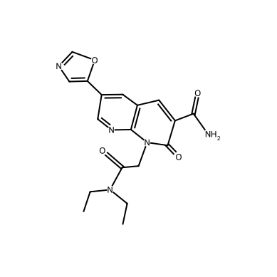 CCN(CC)C(=O)Cn1c(=O)c(C(N)=O)cc2cc(-c3cnco3)cnc21